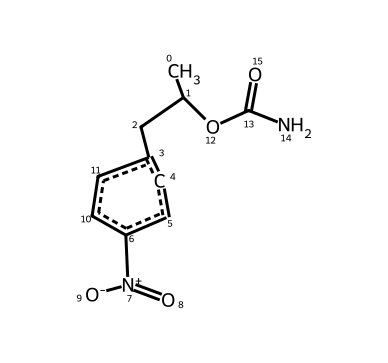 CC(Cc1ccc([N+](=O)[O-])cc1)OC(N)=O